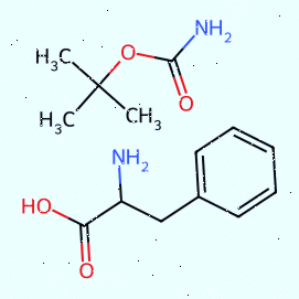 CC(C)(C)OC(N)=O.NC(Cc1ccccc1)C(=O)O